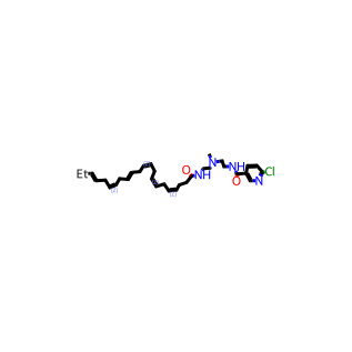 CCC=CC/C=C\CC=CC/C=C\C/C=C\C/C=C\CCC(=O)NCCN(C)CCNC(=O)c1ccc(Cl)nc1